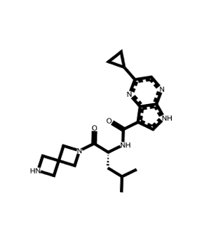 CC(C)C[C@@H](NC(=O)c1c[nH]c2ncc(C3CC3)nc12)C(=O)N1CC2(CNC2)C1